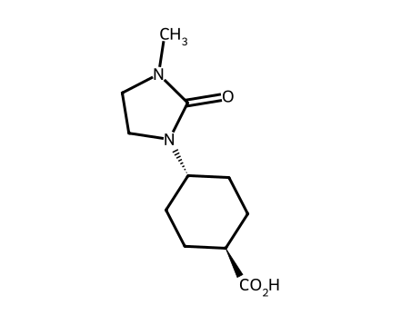 CN1CCN([C@H]2CC[C@H](C(=O)O)CC2)C1=O